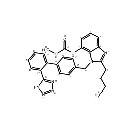 CCCCc1nc2cccc(OC(=O)OC)c2n1Cc1ccc(-c2ccccc2-c2nnn[nH]2)cc1